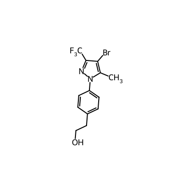 Cc1c(Br)c(C(F)(F)F)nn1-c1ccc(CCO)cc1